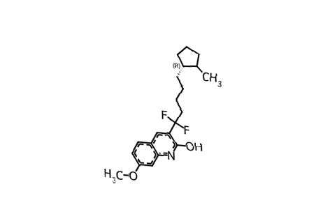 COc1ccc2cc(C(F)(F)CCCC[C@@H]3CCCC3C)c(O)nc2c1